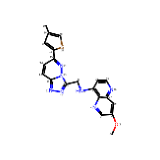 COc1cnc2c(NCc3nnc4ccc(-c5cc(C)cs5)nn34)ccnc2c1